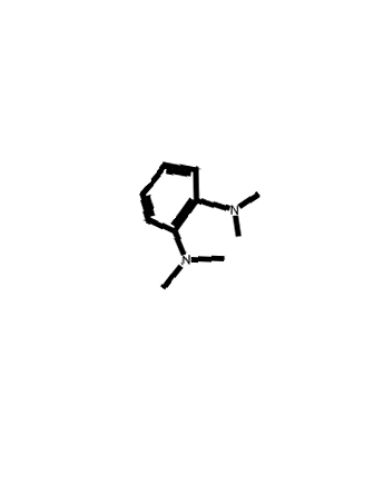 CN(C)c1[c]cc[c]c1N(C)C